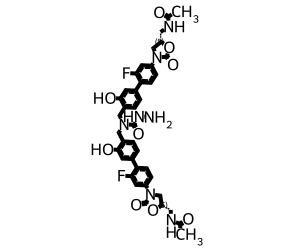 CC(=O)NC[C@H]1CN(c2ccc(-c3ccc(CN(Cc4ccc(-c5ccc(N6C[C@H](CNC(C)=O)OC6=O)cc5F)cc4O)C(=O)NN)c(O)c3)c(F)c2)C(=O)O1